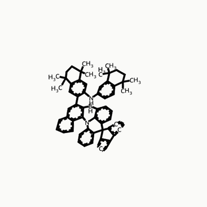 CC1(C)CCC(C)(C)c2cc(Nc3cc4c(cc3-c3cc5ccccc5c5c3Bc3cccc6c3N5c3ccccc3C63c5ccccc5-c5ccccc53)C(C)(C)CCC4(C)C)ccc21